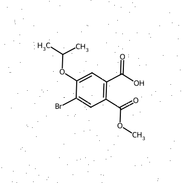 COC(=O)c1cc(Br)c(OC(C)C)cc1C(=O)O